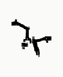 CCCCO[PH](=O)O.[Nd]